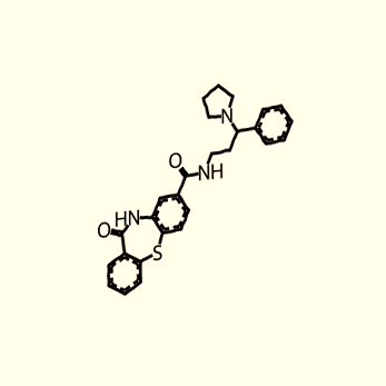 O=C(NCCC(c1ccccc1)N1CCCC1)c1ccc2c(c1)NC(=O)c1ccccc1S2